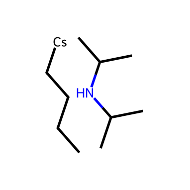 CC(C)NC(C)C.CCC[CH2][Cs]